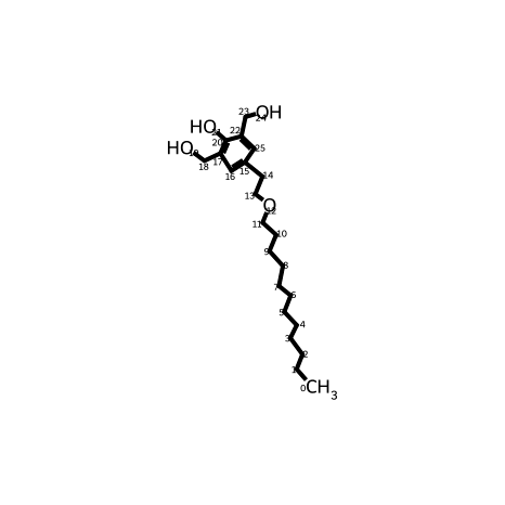 CCCCCCCCCCCCOCCc1cc(CO)c(O)c(CO)c1